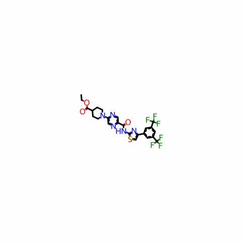 CCOC(=O)C1CCN(c2cnc(C(=O)Nc3nc(-c4cc(C(F)(F)F)cc(C(F)(F)F)c4)cs3)cn2)CC1